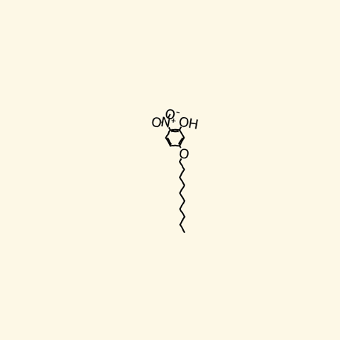 CCCCCCCCCCOc1ccc([N+](=O)[O-])c(O)c1